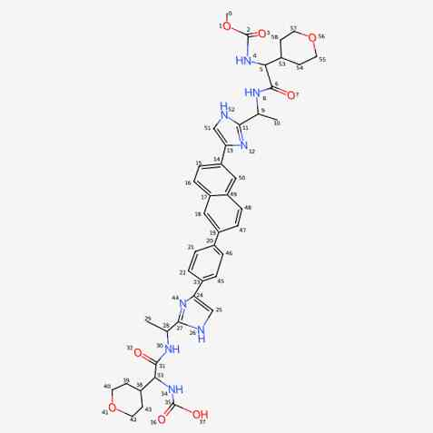 COC(=O)NC(C(=O)NC(C)c1nc(-c2ccc3cc(-c4ccc(-c5c[nH]c(C(C)NC(=O)C(NC(=O)O)C6CCOCC6)n5)cc4)ccc3c2)c[nH]1)C1CCOCC1